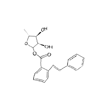 C[C@H]1OC(OC(=O)c2ccccc2C=Cc2ccccc2)[C@H](O)[C@@H]1O